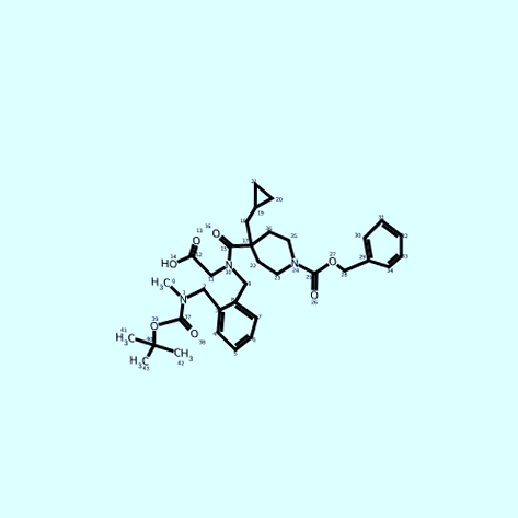 CN(Cc1ccccc1CN(CC(=O)O)C(=O)C1(CC2CC2)CCN(C(=O)OCc2ccccc2)CC1)C(=O)OC(C)(C)C